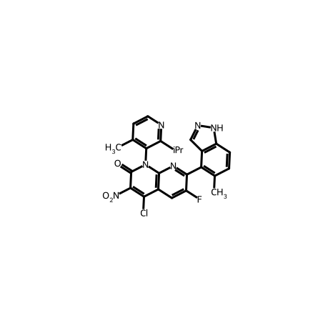 Cc1ccnc(C(C)C)c1-n1c(=O)c([N+](=O)[O-])c(Cl)c2cc(F)c(-c3c(C)ccc4[nH]ncc34)nc21